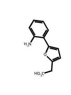 Nc1ccccc1-c1ccc(CC(=O)O)o1